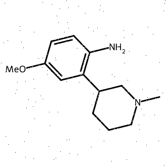 COc1ccc(N)c(C2CCCN(C)C2)c1